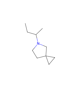 CCC(C)N1CCC2(CC2)C1